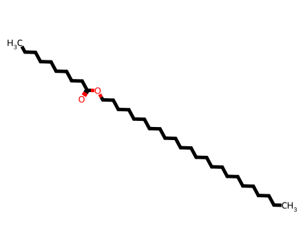 CCCCCCCCCCCCCCCCCCCCCCCCOC(=O)CCCCCCCCC